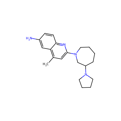 Cc1cc(N2CCCCC(N3CCCC3)C2)nc2ccc(N)cc12